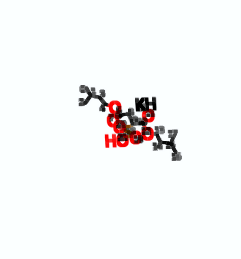 CC(C)CCOC(=O)CC(C(=O)OCCC(C)C)S(=O)(=O)O.[KH]